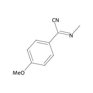 C/N=C(\C#N)c1ccc(OC)cc1